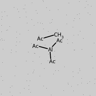 CC(C)=O.C[C](=O)[Al]([C](C)=O)[C](C)=O